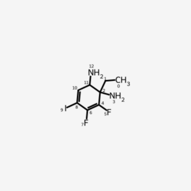 CCC1(N)C(F)=C(F)C(I)=CC1N